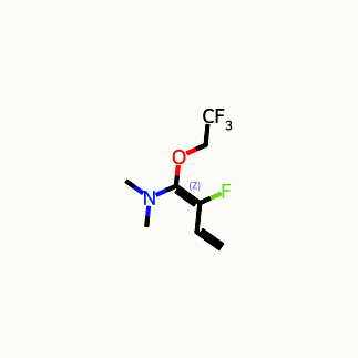 C=C/C(F)=C(/OCC(F)(F)F)N(C)C